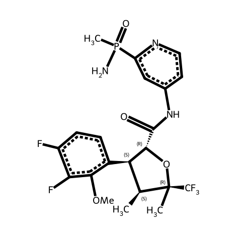 COc1c([C@H]2[C@H](C(=O)Nc3ccnc(P(C)(N)=O)c3)O[C@@](C)(C(F)(F)F)[C@H]2C)ccc(F)c1F